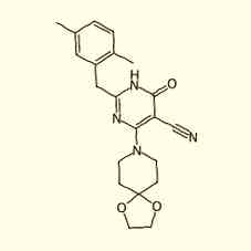 Cc1ccc(C)c(Cc2nc(N3CCC4(CC3)OCCO4)c(C#N)c(=O)[nH]2)c1